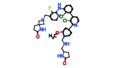 COc1cc(-c2nccc(-c3cccc(Nc4nccc(CN5CC6(CCC(=O)N6)C5)c4F)c3Cl)c2Cl)ccc1CNCC1CCC(=O)N1